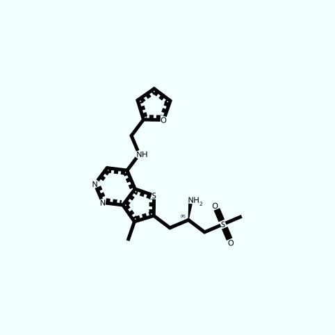 Cc1c(C[C@@H](N)CS(C)(=O)=O)sc2c(NCc3ccco3)cnnc12